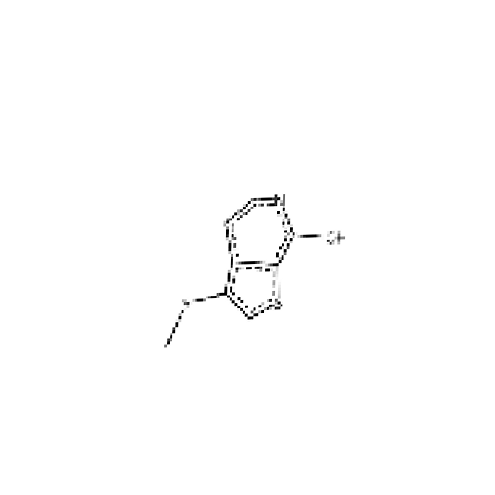 CSc1csc2c(O)nccc12